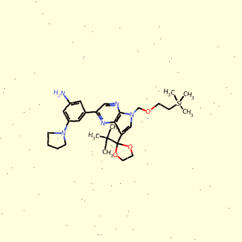 CC(C)(C)C1(c2cn(COCC[Si](C)(C)C)c3ncc(-c4cc(N)cc(N5CCCC5)c4)nc23)OCCO1